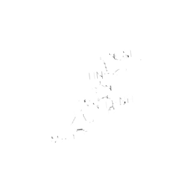 COc1ccc(C(=O)Nc2sc(Nc3ccc(N)nc3)nc2C(N)=O)cc1